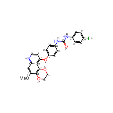 COc1cc2nccc(Oc3ccc(NC(=O)Nc4ccc(F)cc4)cc3)c2c2c1OCCO2